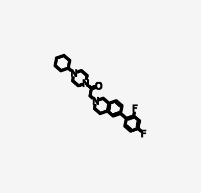 O=C(CN1CCc2cc(-c3ccc(F)cc3F)ccc2C1)N1CCN(C2CCCCC2)CC1